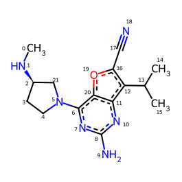 CN[C@@H]1CCN(c2nc(N)nc3c(C(C)C)c(C#N)oc23)C1